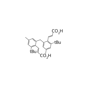 Cc1cc(Cc2cc(C)cc(C(C)(C)C)c2C=CC(=O)O)c(C=CC(=O)O)c(C(C)(C)C)c1